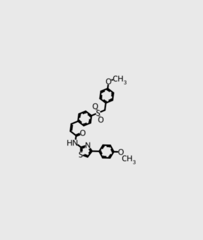 COc1ccc(CS(=O)(=O)c2ccc(/C=C\C(=O)Nc3nc(-c4ccc(OC)cc4)cs3)cc2)cc1